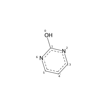 Oc1n[c][c]cn1